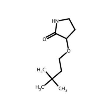 CC(C)(C)CCOC1CCNC1=O